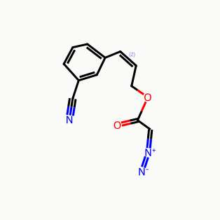 N#Cc1cccc(/C=C\COC(=O)C=[N+]=[N-])c1